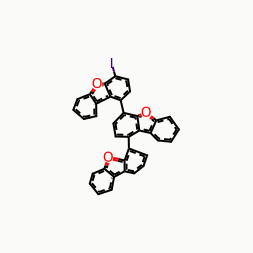 Ic1ccc(-c2ccc(-c3cccc4c3oc3ccccc34)c3c2oc2ccccc23)c2c1oc1ccccc12